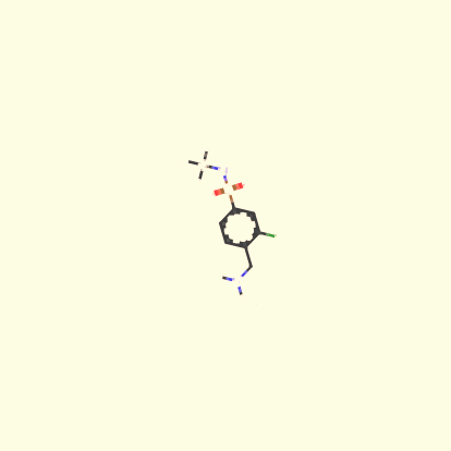 CN(C)Cc1ccc(S(=O)(=O)N[Si](C)(C)C(C)(C)C)cc1F